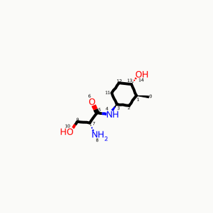 C[C@H]1C[C@@H](NC(=O)[C@H](N)CO)CC[C@@H]1O